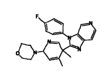 CC1=CC(N2CCOCC2)N=CC1(C)c1nc2ccncc2n1-c1ccc(F)cc1